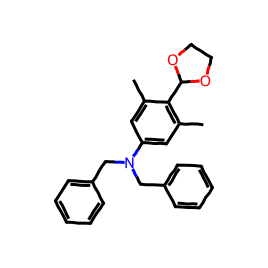 Cc1cc(N(Cc2ccccc2)Cc2ccccc2)cc(C)c1C1OCCO1